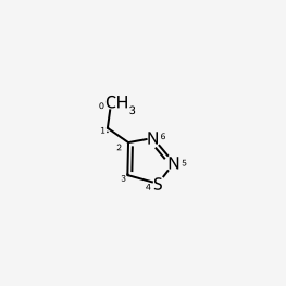 C[CH]c1csnn1